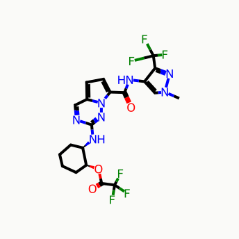 Cn1cc(NC(=O)c2ccc3cnc(N[C@@H]4CCCC[C@@H]4OC(=O)C(F)(F)F)nn23)c(C(F)(F)F)n1